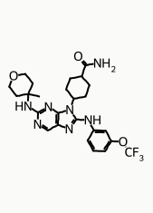 CC1(Nc2ncc3nc(Nc4cccc(OC(F)(F)F)c4)n(C4CCC(C(N)=O)CC4)c3n2)CCOCC1